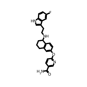 NC(=O)c1ccc(Oc2ccc3c(c2)CCCC3NCCc2c[nH]c3ccc(F)cc23)nc1